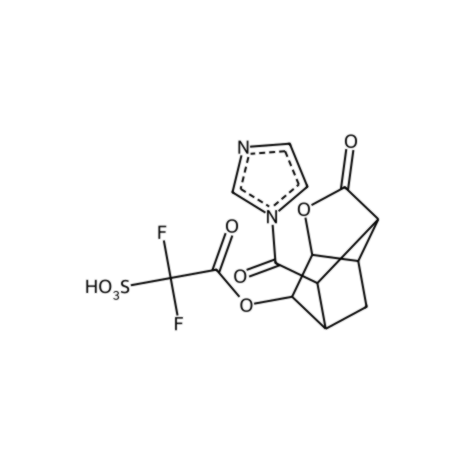 O=C1OC2C3CC(C2OC(=O)C(F)(F)S(=O)(=O)O)C(C(=O)n2ccnc2)C13